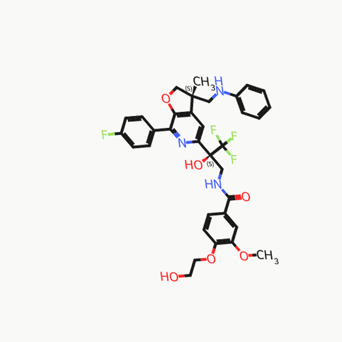 COc1cc(C(=O)NC[C@](O)(c2cc3c(c(-c4ccc(F)cc4)n2)OC[C@]3(C)CNc2ccccc2)C(F)(F)F)ccc1OCCO